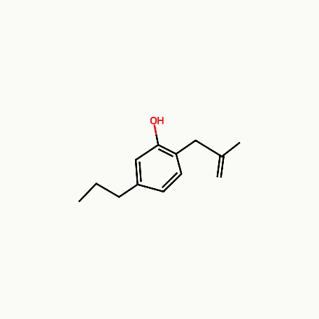 C=C(C)Cc1ccc(CCC)cc1O